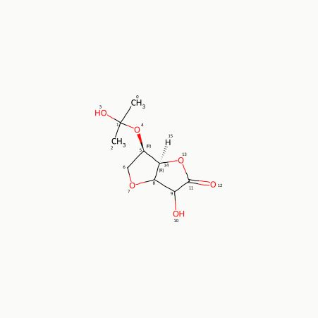 CC(C)(O)O[C@@H]1COC2C(O)C(=O)O[C@@H]21